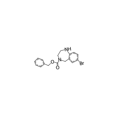 O=C(OCc1ccccc1)N1CCNc2ccc(Br)cc2C1